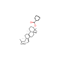 C[C@H](C=O)[C@H]1CC=C2C3=C(CC[C@@]21C)[C@@]1(C)CC[C@H](OC(=O)c2ccccc2)C(C)(C)[C@@H]1CC3